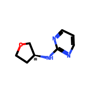 c1cnc(N[C@H]2CCOC2)nc1